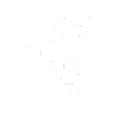 CC[C@H](C)[C@H](NC[C@@H](N)CS)C(=O)N[C@@H](C)C(O)c1ccccc1.O=C(O)C(F)(F)F.O=C(O)C(F)(F)F